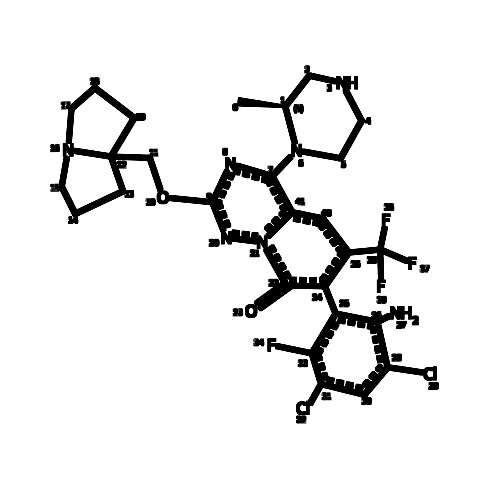 C[C@H]1CNCCN1c1nc(OCC23CCCN2CCC3)nn2c(=O)c(-c3c(N)c(Cl)cc(Cl)c3F)c(C(F)(F)F)cc12